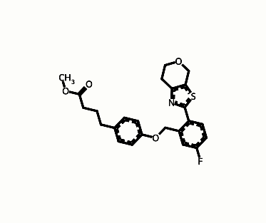 COC(=O)CCCc1ccc(OCc2cc(F)ccc2-c2nc3c(s2)COCC3)cc1